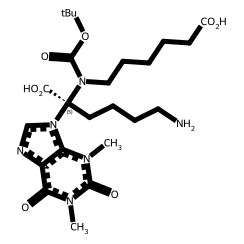 Cn1c(=O)c2ncn([C@@](CCCCN)(C(=O)O)N(CCCCCC(=O)O)C(=O)OC(C)(C)C)c2n(C)c1=O